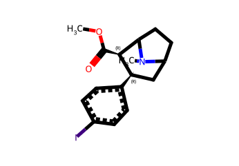 COC(=O)[C@H]1C2CCC(C[C@H]1c1ccc(I)cc1)N2C